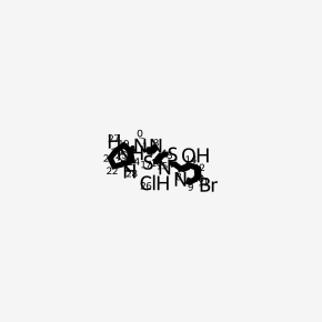 CN(c1nc2sc(-c3ncc(Br)cc3O)nc2s1)C1C[C@H]2CC[C@@H](C1)N2.Cl